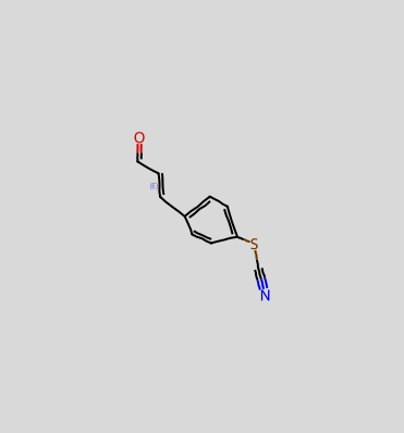 N#CSc1ccc(/C=C/C=O)cc1